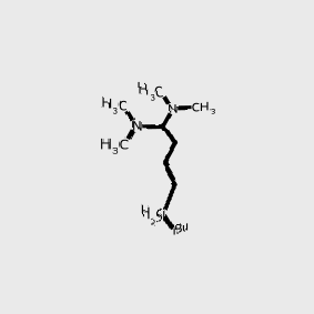 CCC(C)[SiH2]CCCC(N(C)C)N(C)C